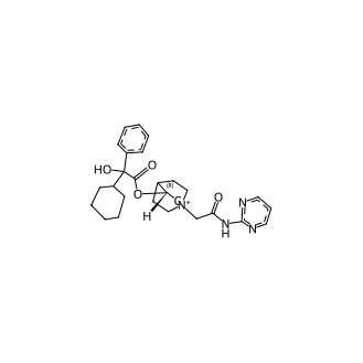 O=C(C[N+]12CCC(CC1)[C@@H](OC(=O)C(O)(c1ccccc1)C1CCCCC1)C2)Nc1ncccn1